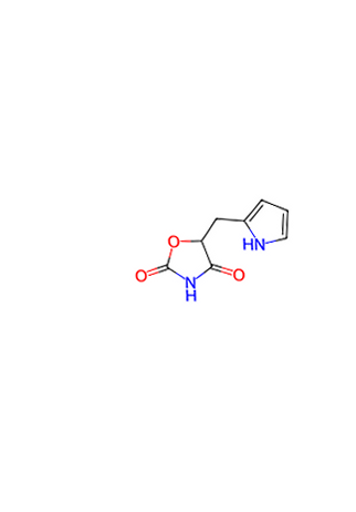 O=C1NC(=O)C(Cc2ccc[nH]2)O1